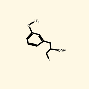 COC(CI)Cc1cccc(OC(F)(F)F)c1